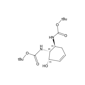 CC(C)(C)OC(=O)N[C@@H]1[C@@H](NC(=O)OC(C)(C)C)CC=C[C@@H]1O